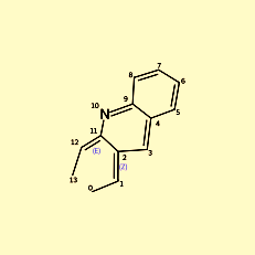 C/C=c1/cc2ccccc2n/c1=C/C